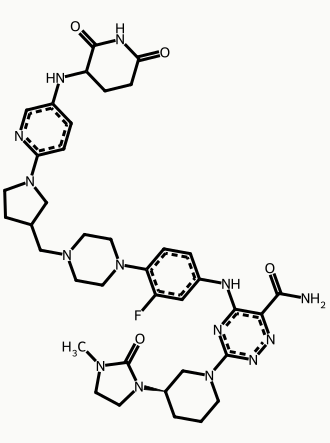 CN1CCN([C@@H]2CCCN(c3nnc(C(N)=O)c(Nc4ccc(N5CCN(CC6CCN(c7ccc(NC8CCC(=O)NC8=O)cn7)C6)CC5)c(F)c4)n3)C2)C1=O